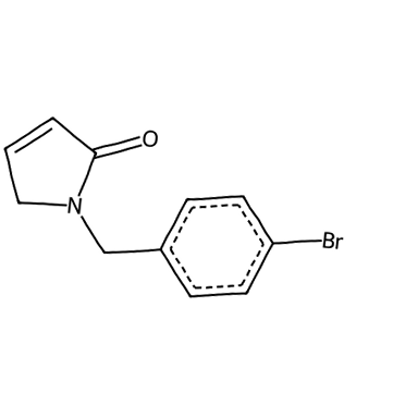 O=C1C=CCN1Cc1ccc(Br)cc1